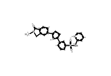 CN1Cc2cc(-c3ccc(-c4cccc(S(=O)(=O)Nc5ccccn5)c4)s3)ccc2C1=O